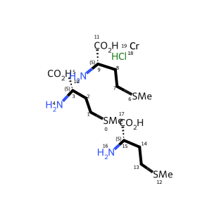 CSCC[C@H](N)C(=O)O.CSCC[C@H](N)C(=O)O.CSCC[C@H](N)C(=O)O.Cl.[Cr]